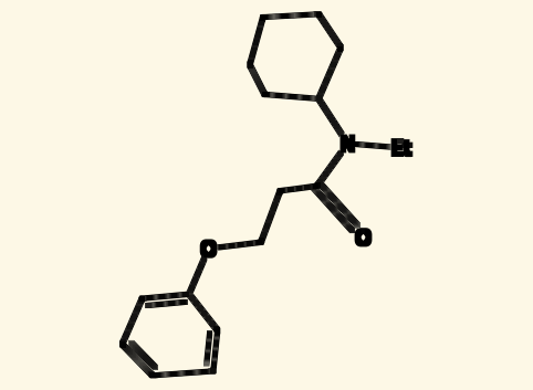 CCN(C(=O)CCOc1ccccc1)C1CCCCC1